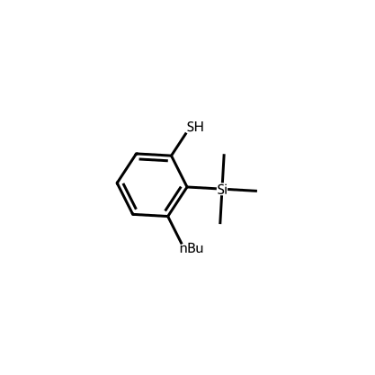 CCCCc1cccc(S)c1[Si](C)(C)C